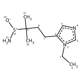 CCn1cncc1CCC(C)(C)[S+](N)[O-]